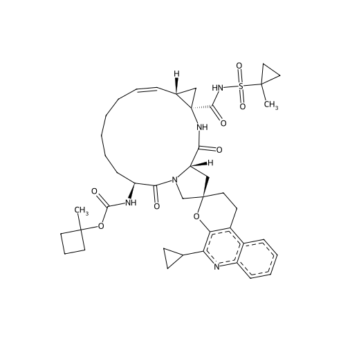 CC1(OC(=O)N[C@H]2CCCCC/C=C\[C@@H]3C[C@@]3(C(=O)NS(=O)(=O)C3(C)CC3)NC(=O)[C@@H]3C[C@]4(CCc5c(c(C6CC6)nc6ccccc56)O4)CN3C2=O)CCC1